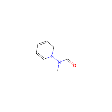 CN([C]=O)N1C=CC=CC1